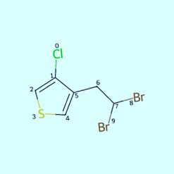 Clc1cscc1CC(Br)Br